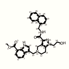 COC(=O)c1cccc2c(CN3CCc4c(c(C(=O)NCc5cccc6ccccc56)nn4CCO)C3)c[nH]c12